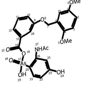 COc1ccc(OC)c(COc2cccc(C(=O)O[As](=O)(O)c3ccc(O)cc3NC(C)=O)c2)c1